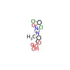 Cc1c(N2CCN(C(=O)c3c(Cl)cccc3Cl)CC2)ccc2oc(OC(=O)O)cc12